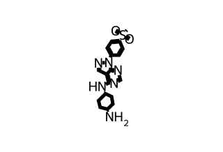 CS(=O)(=O)c1ccc(-n2ncc3c(N[C@H]4CC[C@H](N)CC4)ncnc32)cc1